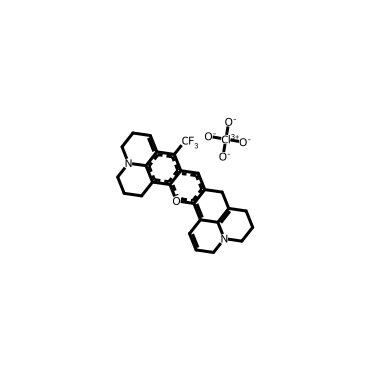 FC(F)(F)c1c2c3c(c4[o+]c5c(cc14)CC1=C4C=5C=CCN4CCC1)CCCN3CCC=2.[O-][Cl+3]([O-])([O-])[O-]